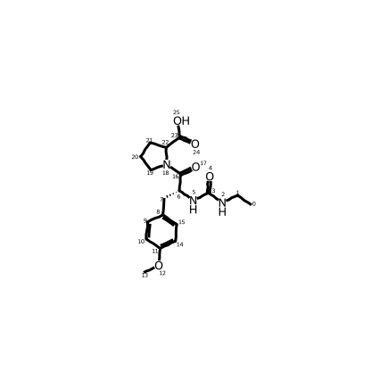 CCNC(=O)N[C@H](Cc1ccc(OC)cc1)C(=O)N1CCCC1C(=O)O